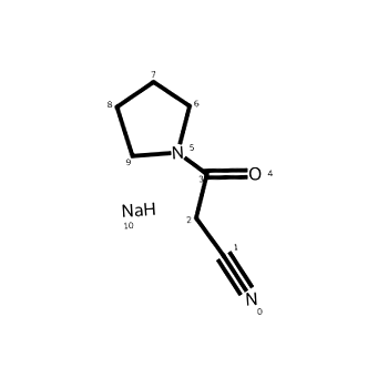 N#CCC(=O)N1CCCC1.[NaH]